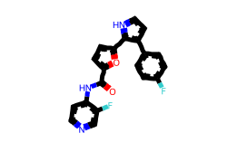 O=C(Nc1ccncc1F)c1ccc(-c2[nH]ccc2-c2ccc(F)cc2)o1